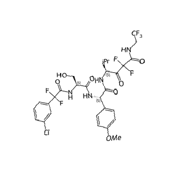 COc1ccc([C@H](NC(=O)[C@H](CO)NC(=O)C(F)(F)c2cccc(Cl)c2)C(=O)N[C@H](C(=O)C(F)(F)C(=O)NCC(F)(F)F)C(C)C)cc1